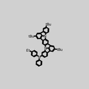 CCc1ccc(N(c2ccccc2)c2ccc3c4cc(C(C)(C)C)cc5c6cc7c(cc6n(c3c2)c45)c2cc(C(C)(C)C)cc3c4cc(C(C)(C)C)ccc4n7c32)cc1